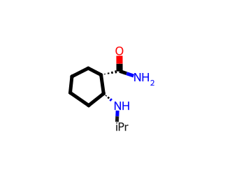 CC(C)N[C@@H]1CCCC[C@@H]1C(N)=O